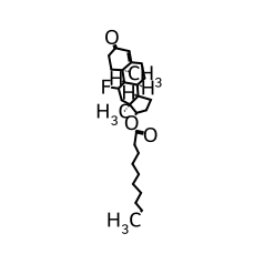 CCCCCCCCCC(=O)OC1CC[C@H]2[C@@H]3CCC4=CC(=O)CC[C@]4(C)[C@@H]3C(F)C[C@]12C